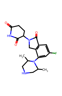 CC1CNCC(C)N1c1cc(F)cc2c1CN(C1CCC(=O)NC1=O)C2=O